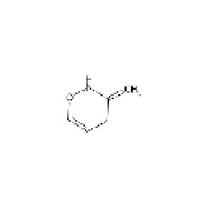 C=C1CC=CON1